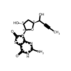 CC#CC(O)[C@@H]1C[C@@H](O)[C@H](n2c(=O)sc3c(=O)[nH]c(N)nc32)O1